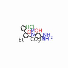 CCc1cc(-c2ccccc2)c(OCCO)c(C(Nc2ccc(C(=N)N)cc2)C(=O)O)c1.Cl